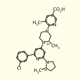 Cc1cc(C(=O)O)cnc1N1CCN(c2cc(-c3cccc(Cl)c3)nc(N3CCC[C@H]3C)c2)[C@H](C)C1